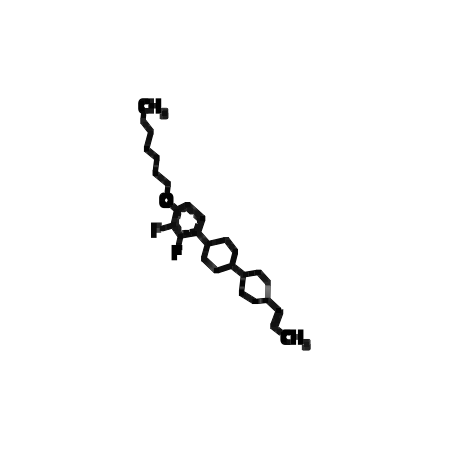 C/C=C/C1CCC(C2CCC(c3ccc(OCCCCCCC)c(F)c3F)CC2)CC1